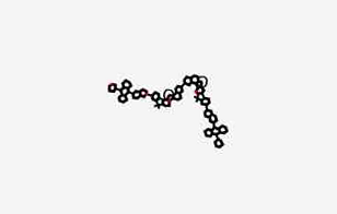 CC1(C)c2cc(-c3ccc4cc(-c5c6ccccc6c(-c6ccccc6)c6ccccc56)ccc4c3)ccc2-c2cc3oc4ccc5ccc(-c6ccc7c(ccc8c9ccc%10c(c9oc78)-c7ccc(-c8ccc9cc(-c%11c%12ccccc%12c(-c%12ccccc%12)c%12ccccc%11%12)ccc9c8)cc7C%10(C)C)c6)cc5c4c3cc21